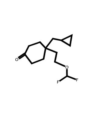 O=C1CCC(CCOC(F)F)(CC2CC2)CC1